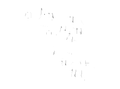 Cc1cc2cc(C(=O)N(Cc3ccc(Cl)nn3)[C@H](C)c3ncccn3)ccc2nc1N